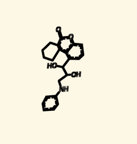 O=c1oc2cccc(C(O)C(O)CNc3ccccc3)c2c2c1CCCC2